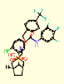 O=C(Nc1cc(F)c(F)c(F)c1)c1ccc(Cl)c(S(=O)(=O)C2C3CC[C@@H]2CC(O)(/C=N/OCc2ccc(C(F)(F)F)cc2)C3)c1